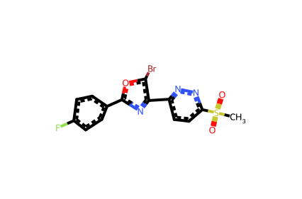 CS(=O)(=O)c1ccc(-c2nc(-c3ccc(F)cc3)oc2Br)nn1